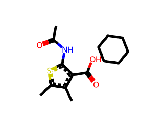 C1CCCCC1.CC(=O)Nc1sc(C)c(C)c1C(=O)O